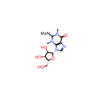 CNC1N(C)C(=O)c2ncn([C@@H]3O[C@H](CO)[C@@H](O)[C@H]3O)c2N1C